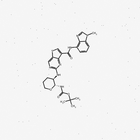 Cn1cnc2c(NC(=O)c3csc4cnc(N[C@@H]5CCCO[C@H]5NC(=O)OC(C)(C)C)nc34)cccc21